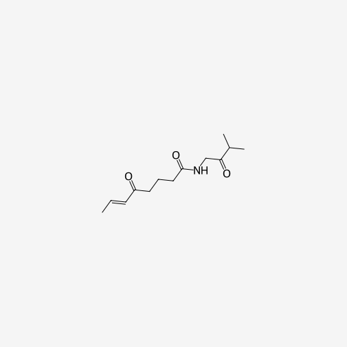 C/C=C/C(=O)CCCC(=O)NCC(=O)C(C)C